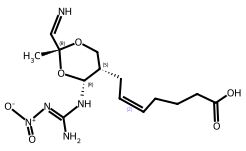 C[C@@]1(C=N)OC[C@H](C/C=C\CCCC(=O)O)[C@H](NC(N)=N[N+](=O)[O-])O1